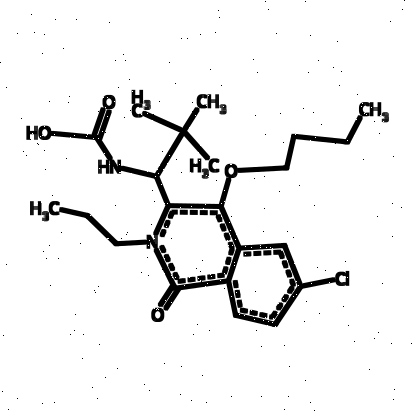 CCCCOc1c(C(NC(=O)O)C(C)(C)C)n(CCC)c(=O)c2ccc(Cl)cc12